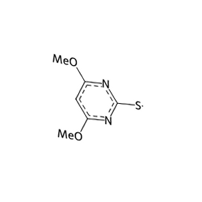 COc1cc(OC)nc([S])n1